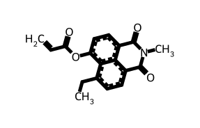 C=CC(=O)Oc1ccc2c3c(ccc(CC)c13)C(=O)N(C)C2=O